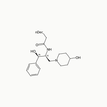 CCCCCCCCCCCC(=O)N[C@@H](CN1CCC(O)CC1)[C@H](O)c1ccccc1